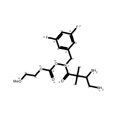 BCC(B)C(C)(C)C(=O)N(Cc1cc(F)cc(F)c1)OC(=O)OCCOC